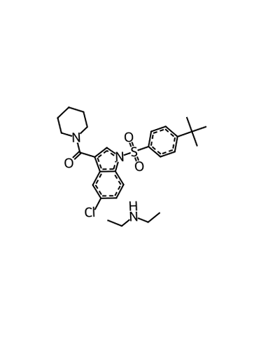 CC(C)(C)c1ccc(S(=O)(=O)n2cc(C(=O)N3CCCCC3)c3cc(Cl)ccc32)cc1.CCNCC